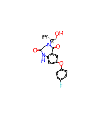 CC(C)[C@H](CO)N1CC(=O)Nc2ccc(Oc3ccc(F)cc3)cc2C1=O